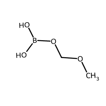 COCOB(O)O